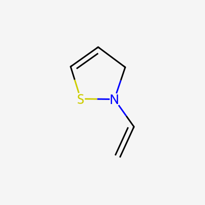 C=CN1CC=CS1